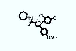 COc1ccc(C2CC(C(=S)NN3CCCCCC3)=NN2c2ccc(Cl)cc2Cl)cc1